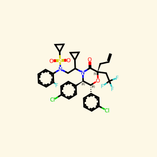 C=CC[C@@]1(CC(F)(F)F)O[C@H](c2cccc(Cl)c2)[C@@H](c2ccc(Cl)cc2)N(C(CN(c2ccccc2F)S(=O)(=O)C2CC2)C2CC2)C1=O